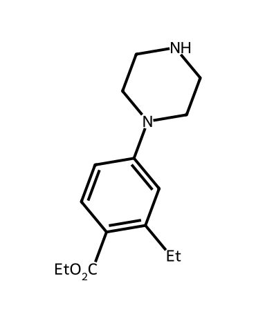 CCOC(=O)c1ccc(N2CCNCC2)cc1CC